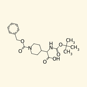 CC(C)(C)OC(=O)NC(C(=O)O)C1CCN(C(=O)OCc2ccccc2)CC1